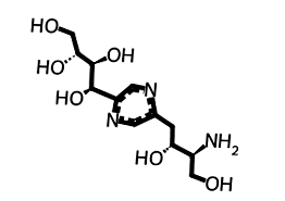 N[C@@H](CO)[C@H](O)Cc1cnc([C@@H](O)[C@H](O)[C@H](O)CO)cn1